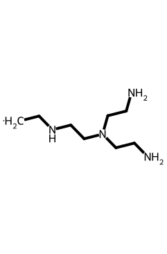 [CH2]CNCCN(CCN)CCN